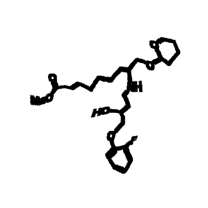 COC(=O)CCCCCCC(COC1CCCCO1)NCCC(O)COc1ccccc1F